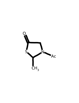 CC(=O)N1CC(=O)SC1C